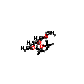 C[Si](C)(C)O[Si](C)(C)C.[SiH3]O[SiH2]O[SiH2]O[SiH3]